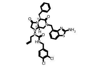 C=CCN(C(=O)NCc1ccc(Cl)c(Cl)c1)N1CC(=O)N2[C@@H](Cc3ccccc3)C(=O)N(Cc3cccc4sc(N)nc34)C[C@@H]21